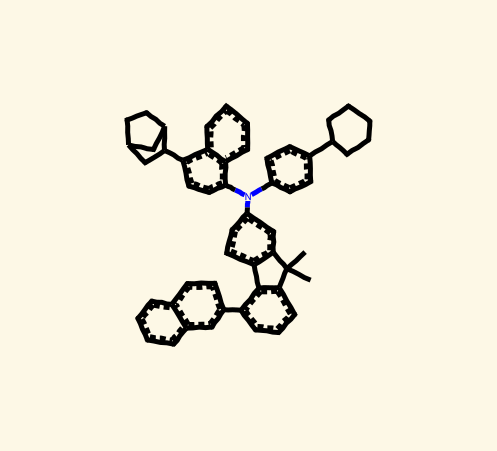 CC1(C)c2cc(N(c3ccc(C4CCCCC4)cc3)c3ccc(C4CC5CCC4C5)c4ccccc34)ccc2-c2c(-c3ccc4ccccc4c3)cccc21